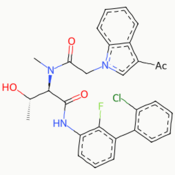 CC(=O)c1cn(CC(=O)N(C)[C@@H](C(=O)Nc2cccc(-c3ccccc3Cl)c2F)[C@H](C)O)c2ccccc12